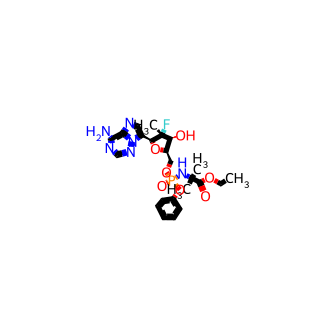 CCOC(=O)C(C)(C)NP(=O)(OC[C@H]1O[C@@H](c2cnc3c(N)ncnn23)[C@](C)(F)[C@@H]1O)Oc1ccccc1